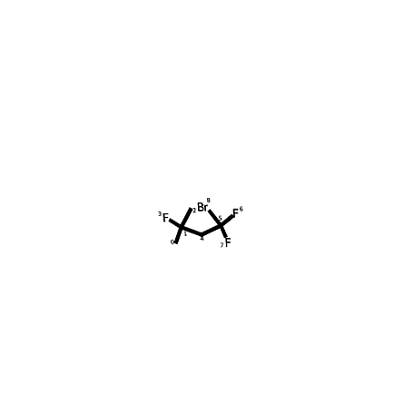 CC(C)(F)CC(F)(F)Br